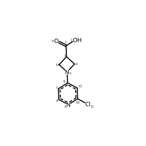 O=C(O)C1CN(c2ccnc(Cl)c2)C1